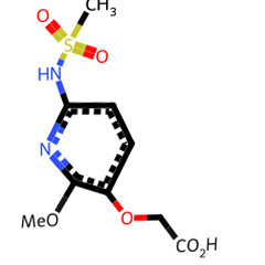 COc1nc(NS(C)(=O)=O)ccc1OCC(=O)O